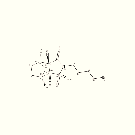 O=C1[C@@H]2[C@@H]([C@H]3CC[C@@H]2O3)S(=O)(=O)N1CCCCBr